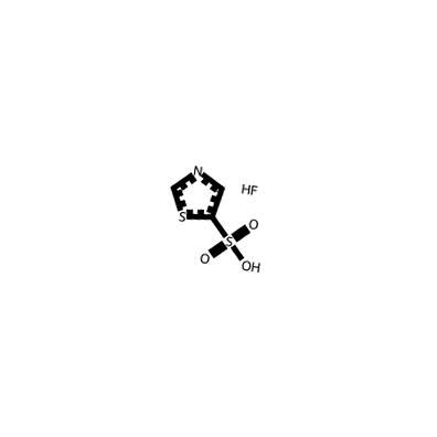 F.O=S(=O)(O)c1cncs1